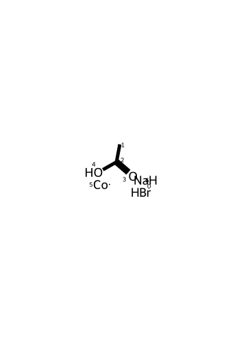 Br.CC(=O)O.[Co].[NaH]